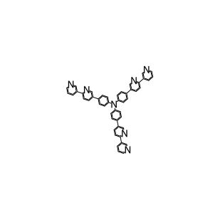 c1cncc(-c2ccc(-c3ccc(N(c4ccc(-c5ccc(-c6cccnc6)nc5)cc4)c4ccc(-c5ccc(-c6cccnc6)nc5)cc4)cc3)cn2)c1